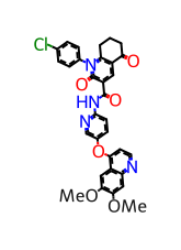 COc1cc2nccc(Oc3ccc(NC(=O)c4cc5c(n(-c6ccc(Cl)cc6)c4=O)CCCC5=O)nc3)c2cc1OC